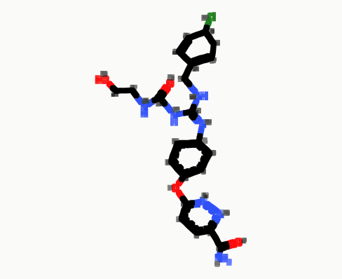 NC(=O)c1ccc(Oc2ccc(/N=C(/NCC3=CCC(Cl)C=C3)NC(=O)NCCO)cc2)nn1